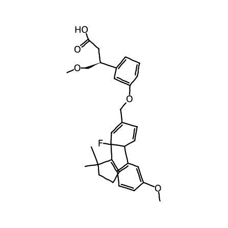 COC[C@@H](CC(=O)O)c1cccc(OCC2=CC(F)(C3=CCCC3(C)C)C(c3cccc(OC)c3)C=C2)c1